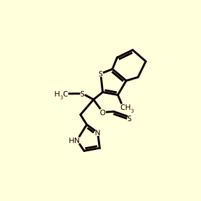 CSC(Cc1ncc[nH]1)(OC=S)c1sc2c(c1C)CCC=C2